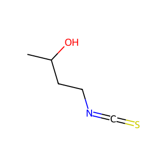 CC(O)CCN=C=S